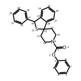 O=C(Oc1ccccc1)N1CCC2(CC1)SC(c1ccccc1)c1ccccc12